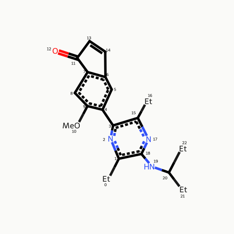 CCc1nc(-c2cc3c(cc2OC)C(=O)C=C3)c(CC)nc1NC(CC)CC